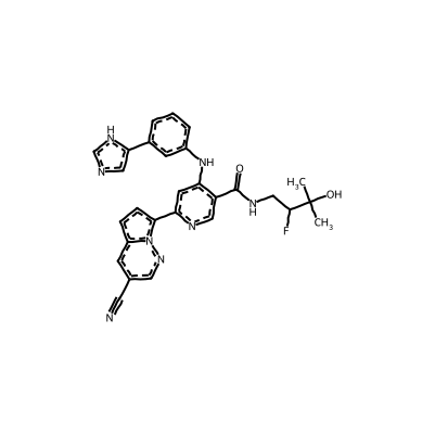 CC(C)(O)C(F)CNC(=O)c1cnc(-c2ccc3cc(C#N)cnn23)cc1Nc1cccc(-c2cnc[nH]2)c1